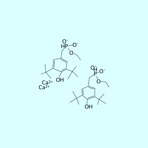 CCO[PH]([O-])([O-])Cc1cc(C(C)(C)C)c(O)c(C(C)(C)C)c1.CCO[PH]([O-])([O-])Cc1cc(C(C)(C)C)c(O)c(C(C)(C)C)c1.[Ca+2].[Ca+2]